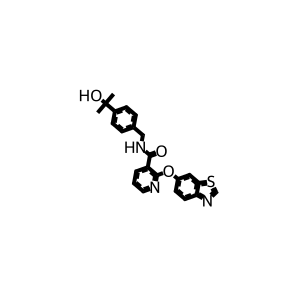 CC(C)(O)c1ccc(CNC(=O)c2cccnc2Oc2ccc3ncsc3c2)cc1